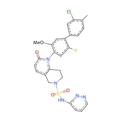 COc1cc(-c2ccc(C)c(Cl)c2)c(F)cc1-n1c2c(ccc1=O)CN(S(=O)(=O)Nc1cccnn1)CC2